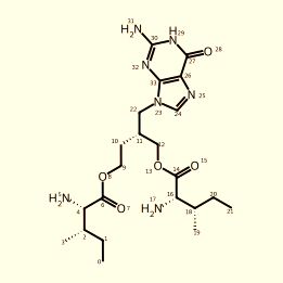 CC[C@H](C)[C@H](N)C(=O)OCC[C@@H](COC(=O)[C@@H](N)[C@@H](C)CC)Cn1cnc2c(=O)[nH]c(N)nc21